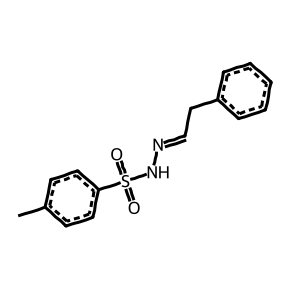 Cc1ccc(S(=O)(=O)NN=CCc2ccccc2)cc1